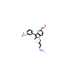 COCc1ccc2c(n1)c(-c1cccc(SN(C)C)c1)c(C)n2C/C(F)=C/CN